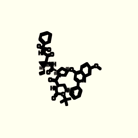 C=C[C@@H]1C[C@]1(NC(=O)[C@@H]1C[C@@H](Oc2cc(-c3ccccc3)nc3cc(OC)ccc23)CN1C(=O)C(CN)NC(=O)OC(C)(C)C)C(=O)NS(=O)(=O)c1ccccc1